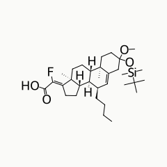 CCCC[C@@H]1C=C2CC(OC)(O[Si](C)(C)C(C)(C)C)CC[C@]2(C)[C@H]2CC[C@]3(C)/C(=C(\F)C(=O)O)CC[C@H]3[C@H]12